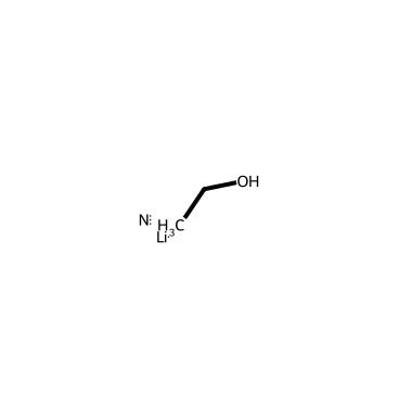 CCO.[Li].[N]